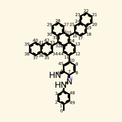 Cc1ccc(N/N=C2/C=CC(c3ccc4c(-c5ccc6ccccc6c5)c5ccccc5c(-c5ccc6ccccc6c5)c4c3)=CC2=N)cc1